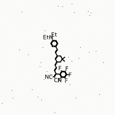 CCN(CC)c1ccc(/C=C/C2=CC(=C/C=C/C(=C(C#N)C#N)c3c(F)c(F)c(F)c(F)c3F)/CC(C)(C)C2)cc1